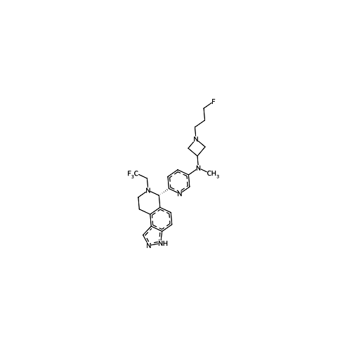 CN(c1ccc([C@@H]2c3ccc4[nH]ncc4c3CCN2CC(F)(F)F)nc1)C1CN(CCCF)C1